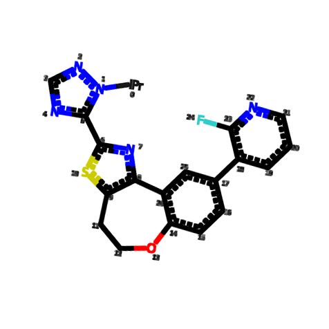 CC(C)n1ncnc1-c1nc2c(s1)CCOc1ccc(-c3cccnc3F)cc1-2